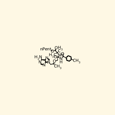 CCCCCOC(=O)C(C)(C)NP(=O)(CO[C@H](C)Cn1cnc2c(N)ncnc21)NC(=O)c1ccc(C)cc1